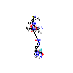 Cc1ncsc1-c1ccc([C@H](C)NC(=O)[C@@H]2C[C@@H](OC(=O)[C@@H](N)C(C)C)CN2C(=O)[C@@H](NC(=O)CCCCCCCCCC(=O)NCCN2CCN(Cc3cccc(-c4ccc(N5CCN(C)CC5)c(NC(=O)c5c[nH]c(=O)cc5C(F)(F)F)c4)c3)CC2)C(C)(C)C)cc1